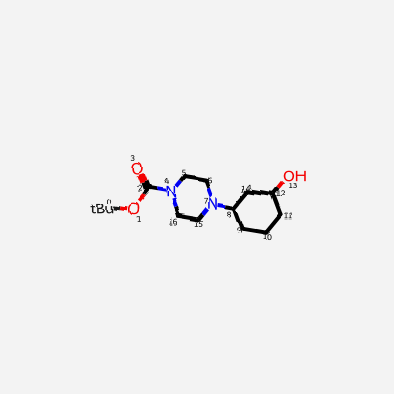 CC(C)(C)OC(=O)N1CCN(C2CCCC(O)C2)CC1